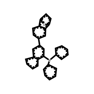 c1ccc(N(c2ccccc2)c2cc(-c3ccc4c5ccc(o5)c4c3)cc3ccccc23)cc1